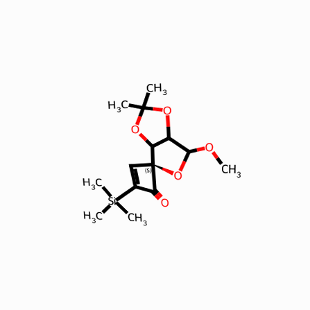 COC1O[C@@]2(C=C([Si](C)(C)C)C2=O)C2OC(C)(C)OC12